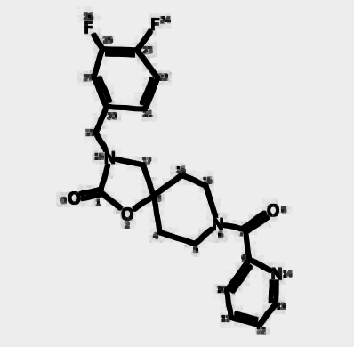 O=C1OC2(CCN(C(=O)c3ccccn3)CC2)CN1Cc1ccc(F)c(F)c1